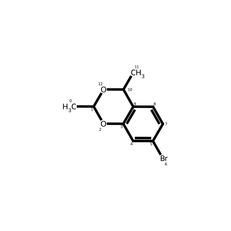 CC1Oc2cc(Br)ccc2C(C)O1